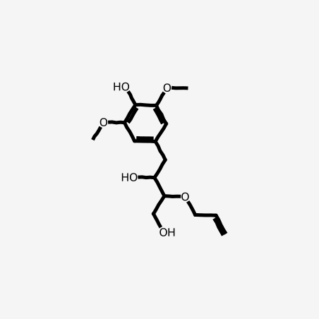 C=CCOC(CO)C(O)Cc1cc(OC)c(O)c(OC)c1